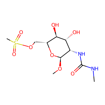 CNC(=O)N[C@@H]1[C@@H](OC)O[C@H](COS(C)(=O)=O)[C@@H](O)[C@@H]1O